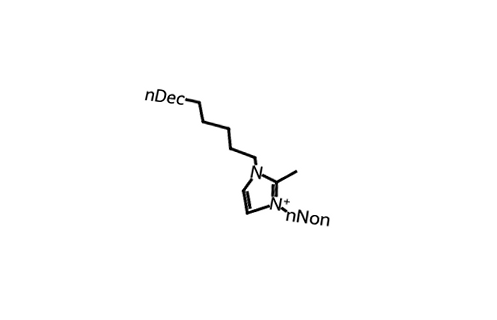 CCCCCCCCCCCCCCCn1cc[n+](CCCCCCCCC)c1C